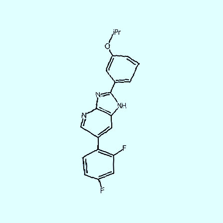 CC(C)Oc1cccc(-c2nc3ncc(-c4ccc(F)cc4F)cc3[nH]2)c1